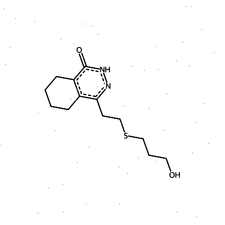 O=c1[nH]nc(CCSCCCO)c2c1CCCC2